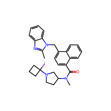 Cc1nc2ccccc2n1Cc1ccc(C(=O)N(C)C2CCN(C3(I)CCC3)C2)c2ccccc12